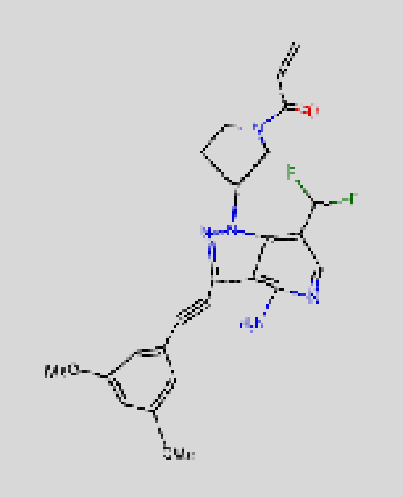 C=CC(=O)N1CCC(n2nc(C#Cc3cc(OC)cc(OC)c3)c3c(N)ncc(C(F)F)c32)C1